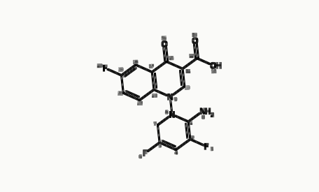 NC1=C(F)C=C(F)CN1n1cc(C(=O)O)c(=O)c2cc(F)ccc21